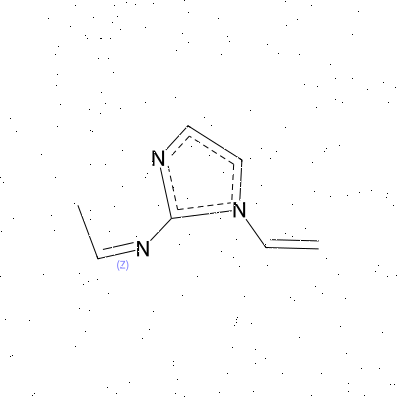 C=Cn1ccnc1/N=C\C